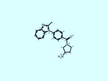 Cc1nc2ccccc2n1-c1ccc(C(=O)N2CCC(N)C2)cc1